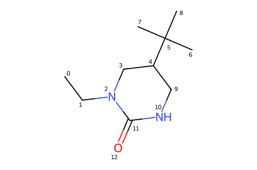 CCN1CC(C(C)(C)C)CNC1=O